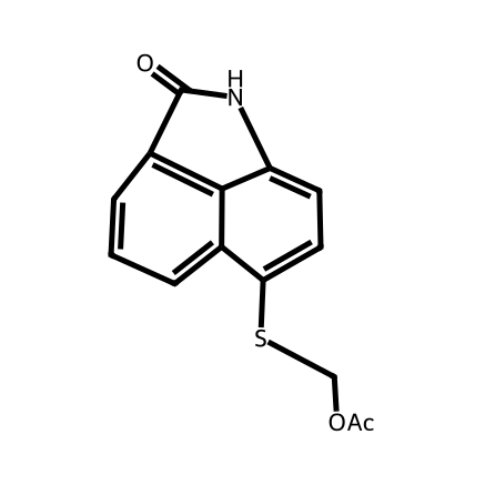 CC(=O)OCSc1ccc2c3c(cccc13)C(=O)N2